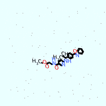 CCOC(=O)CCNC(=O)c1ccc(N[C@H](c2ccc(-c3nc4ccccc4o3)cc2)C(C)C)nc1